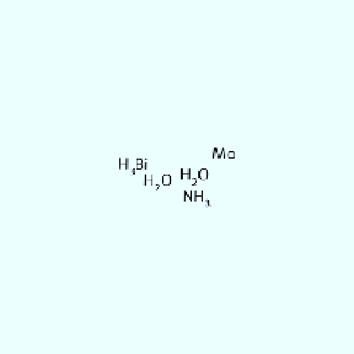 N.O.O.[BiH3].[Mo]